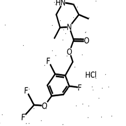 CC1CNCC(C)N1C(=O)OCc1c(F)cc(OC(F)F)cc1F.Cl